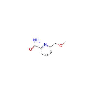 COCc1cccc(C(N)=O)n1